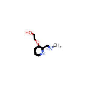 C/N=C/c1ncccc1OCCO